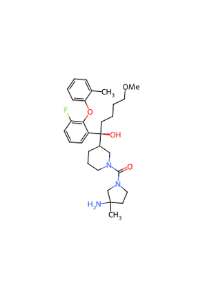 COCCCC[C@@](O)(c1cccc(F)c1Oc1ccccc1C)C1CCCN(C(=O)N2CCC(C)(N)C2)C1